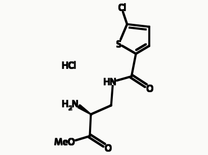 COC(=O)[C@@H](N)CNC(=O)c1ccc(Cl)s1.Cl